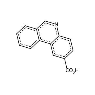 O=C(O)c1ccc2ncc3ccccc3c2c1